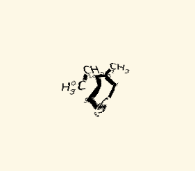 CC.Cc1ccsc1